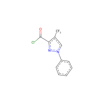 O=C(Cl)c1nn(-c2ccccc2)cc1C(F)(F)F